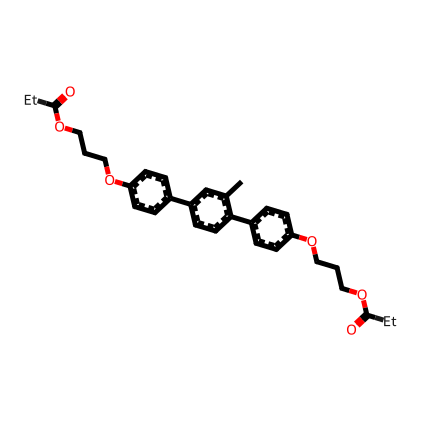 CCC(=O)OCCCOc1ccc(-c2ccc(-c3ccc(OCCCOC(=O)CC)cc3)c(C)c2)cc1